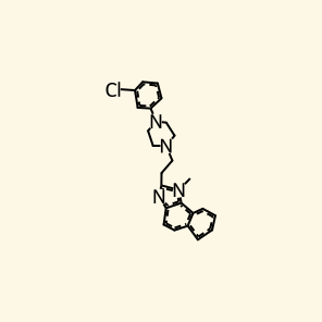 Cn1c(CCN2CCN(c3cccc(Cl)c3)CC2)nc2ccc3ccccc3c21